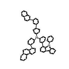 c1ccc(-n2c3ccccc3c3cccc(-c4cccc(N(c5ccc(-c6cccc(-c7ccc8ccccc8c7)c6)cc5)c5cccc(-c6cccc7c6ccc6ccccc67)c5)c4)c32)cc1